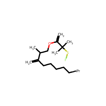 C=C(CCCCCC(C)C)C(C)COC(=C)C(C)(C)SF